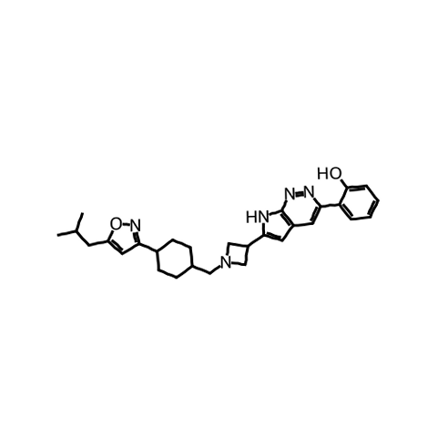 CC(C)Cc1cc(C2CCC(CN3CC(c4cc5cc(-c6ccccc6O)nnc5[nH]4)C3)CC2)no1